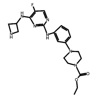 CCOC(=O)N1CCN(c2cccc(Nc3ncc(F)c(NC4CNC4)n3)c2)CC1